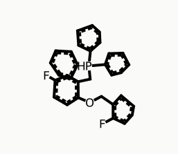 Fc1ccc(OCc2ccccc2F)c(C[PH](c2ccccc2)(c2ccccc2)c2ccccc2)c1